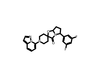 O=C1N2C(CCC2c2cc(F)cc(F)c2)OC12CCN(c1cccc3ccnn13)CC2